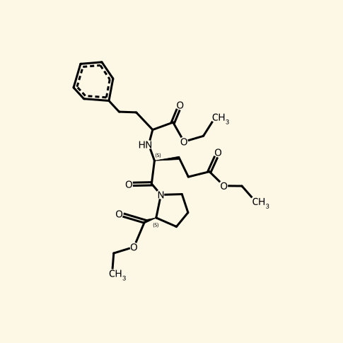 CCOC(=O)CC[C@H](NC(CCc1ccccc1)C(=O)OCC)C(=O)N1CCC[C@H]1C(=O)OCC